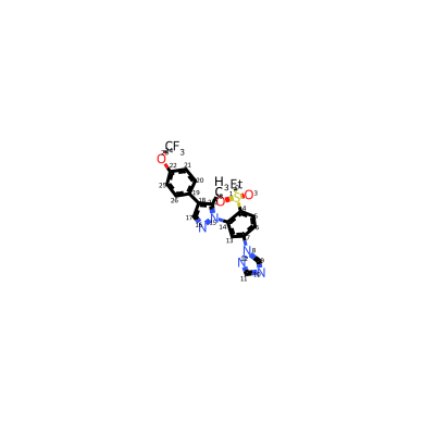 CCS(=O)(=O)c1ccc(-n2cncn2)cc1-n1ncc(-c2ccc(OC(F)(F)F)cc2)c1C